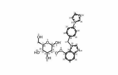 OC[C@H]1O[C@@H](O)[C@H](OOc2cccc3ncn(Cc4ccc(-n5ccnc5)cc4)c23)[C@@H](O)[C@@H]1O